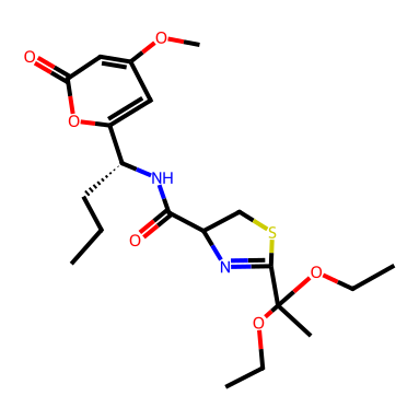 CCC[C@@H](NC(=O)C1CSC(C(C)(OCC)OCC)=N1)c1cc(OC)cc(=O)o1